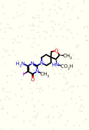 C[C@@H]1OCC2(CCN(c3nc(N)c(I)c(=O)n3C)CC2)[C@@H]1NC(=O)O